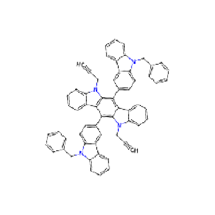 C#CCn1c2ccccc2c2c(-c3ccc4c(c3)c3ccccc3n4Cc3ccccc3)c3c(c(-c4ccc5c(c4)c4ccccc4n5Cc4ccccc4)c21)c1ccccc1n3CC#C